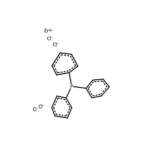 [Cl-].[Cl-].[Cl-].[Cl-].[Zr+4].c1ccc(P(c2ccccc2)c2ccccc2)cc1